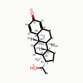 CC(O)[C@H]1CC[C@H]2[C@@H]3CCC4=CC(=O)C=C[C@]4(C)[C@H]3CC[C@]12C